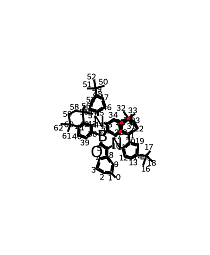 Cc1ccc2oc3c(c2c1)N(c1ccc(C(C)(C)C)cc1-c1ccccc1)c1cc(C(C)(C)C)cc2c1B3c1ccc3c(c1N2c1ccc(C(C)(C)C)cc1)C(C)(C)CCC3(C)C